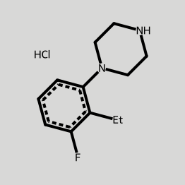 CCc1c(F)cccc1N1CCNCC1.Cl